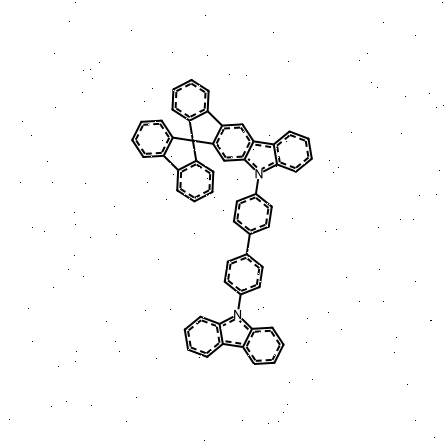 c1ccc2c(c1)-c1ccccc1C21c2ccccc2-c2cc3c4ccccc4n(-c4ccc(-c5ccc(-n6c7ccccc7c7ccccc76)cc5)cc4)c3cc21